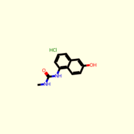 CNC(=O)Nc1cccc2cc(O)ccc12.Cl